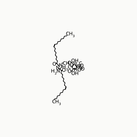 CCCCCCCC/C=C\CCCCCCCC(=O)C1=NC(N)(C(=O)CCCCCCC/C=C\CCCCCCCC)CN1CC.COS(=O)(=O)O.Cc1c(C(=O)O)cccc1C(=O)O